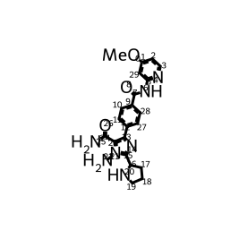 COc1ccnc(NC(=O)c2ccc(-c3nc(C4CCCN4)n(N)c3C(N)=O)cc2)c1